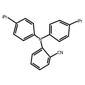 CC(C)c1ccc(N(c2ccc(C(C)C)cc2)c2ccccc2C#N)cc1